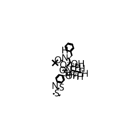 [2H]C([2H])([2H])C([2H])([2H])C([2H])([2H])N(C[C@@H](O)[C@H](Cc1ccccc1)NC(=O)OC(C)(C)C)S(=O)(=O)c1ccc2nc(S(=C)C)sc2c1